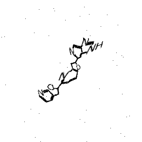 c1cnc2c(c1)CC(c1ccc3c(n1)CC(c1cc4[nH]cnc4cn1)O3)O2